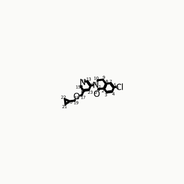 O=C1c2ccc(Cl)cc2CCN1c1cncc(COCC2CC2)c1